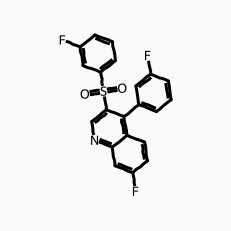 O=S(=O)(c1cccc(F)c1)c1cnc2cc(F)ccc2c1-c1cccc(F)c1